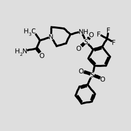 CC(C(N)=O)N1CCC(NS(=O)(=O)c2cc(S(=O)(=O)c3ccccc3)ccc2C(F)(F)F)CC1